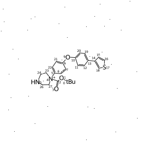 CC(C)(C)OC(=O)[N+]1(c2ccc(Oc3ccc(-c4ccsc4)cc3)cc2)CCNCC1